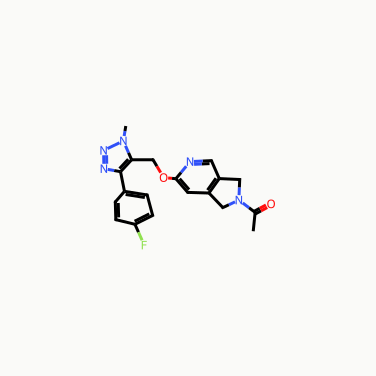 CC(=O)N1Cc2cnc(OCc3c(-c4ccc(F)cc4)nnn3C)cc2C1